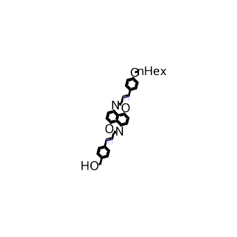 CCCCCCOc1ccc(/C=C/C2=Nc3ccc4c5c(ccc(c35)O2)N=C(/C=C/c2ccc(CO)cc2)O4)cc1